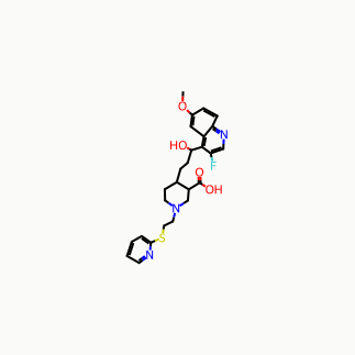 COc1ccc2ncc(F)c(C(O)CCC3CCN(CCSc4ccccn4)CC3C(=O)O)c2c1